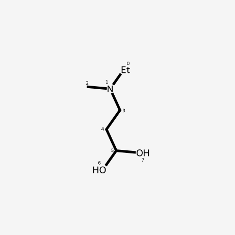 CCN(C)CCC(O)O